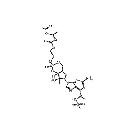 CC(=O)OC(C)OC(=O)SCCOP1(=O)OCC2OC(n3cnc4c(N(C)NS(C)(=O)=O)nc(N)nc43)[C@](C)(O)[C@@H]2O1